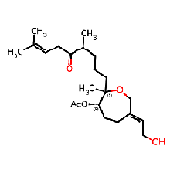 CC(=O)O[C@@H]1CCC(=CCO)CO[C@@]1(C)CCCC(C)C(=O)CC=C(C)C